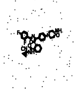 N#CC1(NC(=O)[C@@H]2CCCC[C@H]2c2oc(-c3ccc(F)cc3F)nc2-c2ccc(N3CCS(=N)(=O)CC3)cc2)CC1